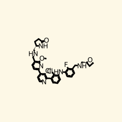 COc1nc(-c2ccnc(-c3cccc(Nc4cccc(CNC[C@@H]5CCO5)c4F)c3Cl)c2Cl)ccc1CNC[C@@H]1CCC(=O)N1